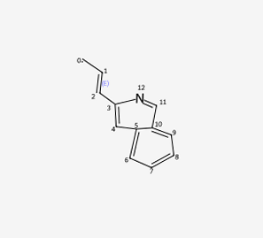 [CH2]/C=C/c1cc2ccccc2cn1